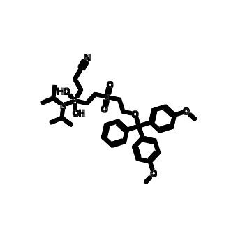 COc1ccc(C(OCCS(=O)(=O)CCP(O)(O)(CCC#N)N(C(C)C)C(C)C)(c2ccccc2)c2ccc(OC)cc2)cc1